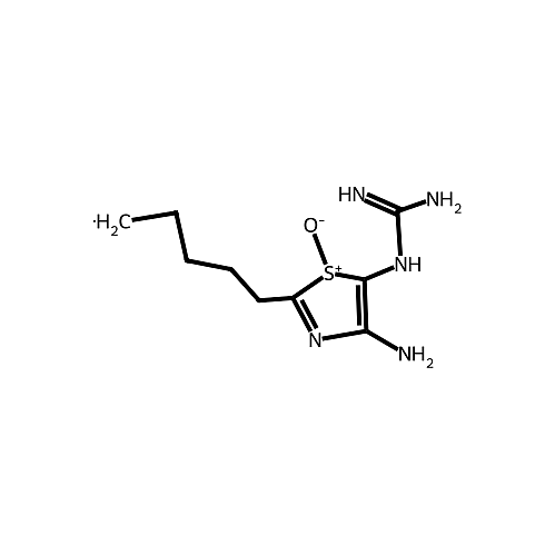 [CH2]CCCCc1nc(N)c(NC(=N)N)[s+]1[O-]